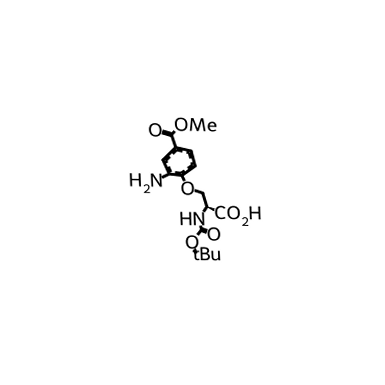 COC(=O)c1ccc(OC[C@H](NC(=O)OC(C)(C)C)C(=O)O)c(N)c1